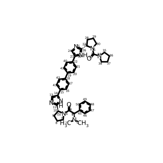 CN(C)[C@@H](C(=O)N1CCC[C@H]1c1ncc(-c2ccc(-c3ccc(-c4cnc([C@@H]5CCCN5C(=O)N5CCCC5)[nH]4)cc3)cc2)[nH]1)c1ccccc1